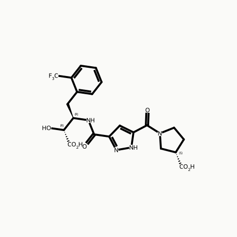 O=C(N[C@H](Cc1ccccc1C(F)(F)F)[C@@H](O)C(=O)O)c1cc(C(=O)N2CC[C@H](C(=O)O)C2)[nH]n1